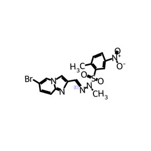 Cc1ccc([N+](=O)[O-])cc1S(=O)(=O)N(C)/N=C/c1cn2cc(Br)ccc2n1